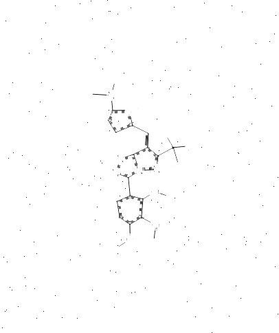 COc1ccc(-c2nnc3/c(=C\c4ccc(N(C)C)s4)c(C(C)(C)C)nn23)c(OC)c1OC